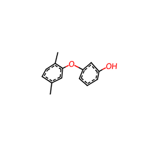 Cc1ccc(C)c(Oc2cccc(O)c2)c1